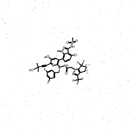 COc1cc(-c2ccc(Cl)c3c(NS(C)(=O)=O)nn(C)c23)c([C@H](Cc2cc(F)cc(F)c2)NC(=O)Cn2nc(C(F)(F)F)c3c2C(F)(F)[C@H](C)[C@@H]3C)nc1C#CC(C)(C)O